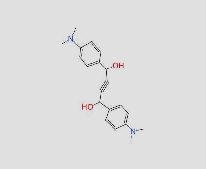 CN(C)c1ccc(C(O)C#CC(O)c2ccc(N(C)C)cc2)cc1